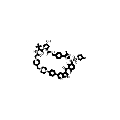 Cc1ncsc1-c1ccc(CNC(=O)[C@@H]2C[C@@H](O)CN2C(=O)C(NC(=O)CN2CCC(CN3CCN(c4ccc(-c5cnc6[nH]cc(C(=O)c7c(F)ccc(NS(=O)(=O)N8CCC(F)C8)c7F)c6c5)cc4)CC3)CC2)C(C)(C)C)cc1